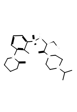 Cc1c(N2CCCCC2=O)cccc1S(=O)(=O)N[C@@H](CN)C(=O)N1CCN(C(C)C)CC1